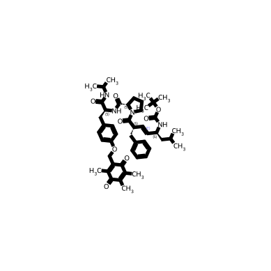 CC1=C(C)C(=O)C(COc2ccc(C[C@H](NC(=O)[C@@H]3CCCN3C(=O)[C@H](/C=C/[C@H](CC(C)C)NC(=O)OC(C)(C)C)Cc3ccccc3)C(=O)NC(C)C)cc2)=C(C)C1=O